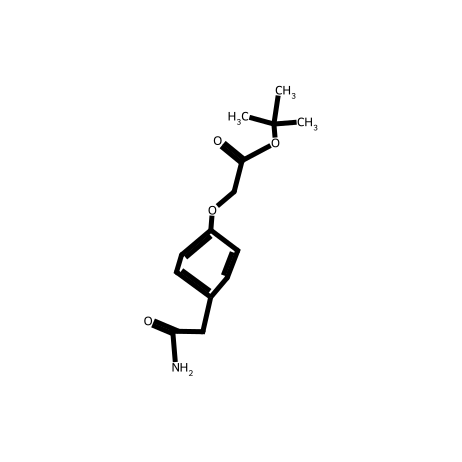 CC(C)(C)OC(=O)COc1ccc(CC(N)=O)cc1